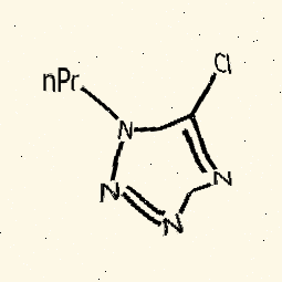 CCCn1nnnc1Cl